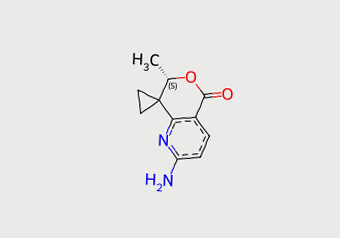 C[C@@H]1OC(=O)c2ccc(N)nc2C12CC2